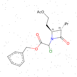 CC(=O)OCC[C@H]1[C@H](C(C)C)C(=O)N1C(Cl)C(=O)OCc1ccccc1